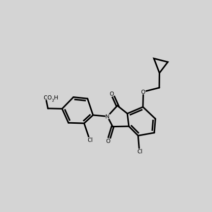 O=C(O)Cc1ccc(N2C(=O)c3c(Cl)ccc(OCC4CC4)c3C2=O)c(Cl)c1